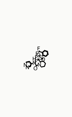 O=C(Nc1ccnnc1)N1CCCCC1C(F)(F)S(=O)(=O)c1ccccc1C(F)F